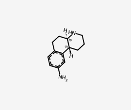 Nc1ccc2c(c1)[C@H]1CCCN[C@@H]1CC2